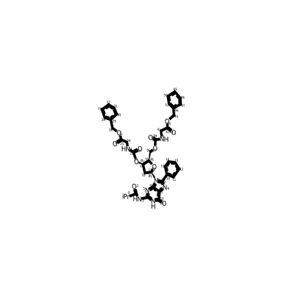 CC(C)C(=O)Nc1nc2c(nc(-c3ccccc3)n2[C@H]2C[C@@H](OC(=O)NCC(=O)OCc3ccccc3)[C@@H](COC(=O)NCC(=O)OCc3ccccc3)O2)c(=O)[nH]1